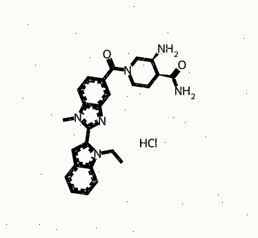 CCn1c(-c2nc3cc(C(=O)N4CC[C@H](C(N)=O)[C@H](N)C4)ccc3n2C)cc2ccccc21.Cl